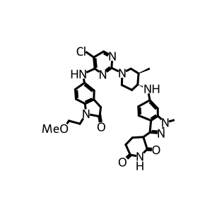 COCCN1C(=O)Cc2cc(Nc3nc(N4CC[C@@H](Nc5ccc6c(C7CCC(=O)NC7=O)nn(C)c6c5)[C@H](C)C4)ncc3Cl)ccc21